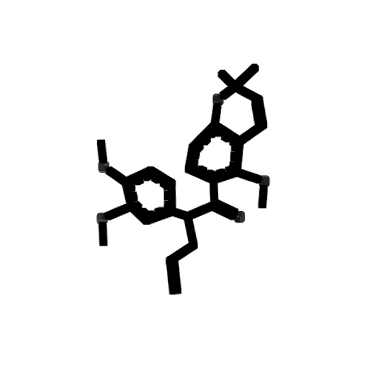 C=CCC(C(=O)c1ccc2c(c1OC)C=CC(C)(C)O2)c1ccc(OC)c(OC)c1